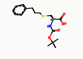 CC(C)(C)OC(=O)N[C@@H](CSCCCc1ccccc1)C(=O)O